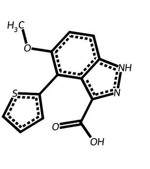 COc1ccc2[nH]nc(C(=O)O)c2c1-c1cccs1